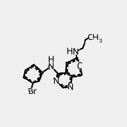 CCCNc1ccc2ncnc(Nc3cccc(Br)c3)c2c1